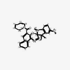 COc1ccc2c(c1)C(C)(C)C1(C=Nc3c(c(C(=O)N4CCCCC4)cc4ccccc34)O1)N2C